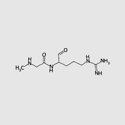 CNCC(=O)NC(C=O)CCCNC(=N)N